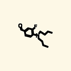 CCCCN(CCCC)c1ccc(C=O)cc1F